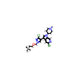 CN1CCC(n2cc(-c3cn(COCC[Si](C)(C)C)nc3Cl)c3cc(Br)ncc32)CC1